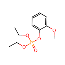 CCOP(=O)(OCC)Oc1ccccc1OC